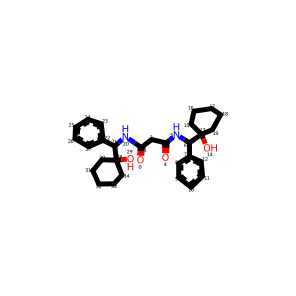 O=C(CC(=O)NC(c1ccccc1)C1(O)CCCCC1)NC(c1ccccc1)C1(O)CCCCC1